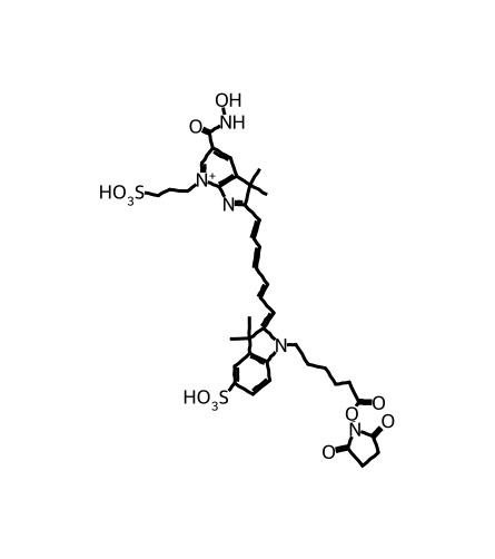 CC1(C)C(/C=C/C=C/C=C/C=C2/N(CCCCCC(=O)ON3C(=O)CCC3=O)c3ccc(S(=O)(=O)O)cc3C2(C)C)=Nc2c1cc(C(=O)NO)c[n+]2CCCS(=O)(=O)O